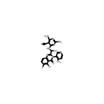 Cc1ccncc1-n1c(C(C)Nc2nc(N)nc(N)c2C#N)nc2ccc(F)c(Cl)c2c1=O